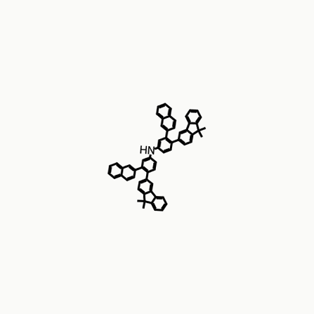 CC1(C)c2ccccc2-c2cc(-c3ccc(Nc4ccc(-c5ccc6c(c5)-c5ccccc5C6(C)C)c(-c5ccc6ccccc6c5)c4)cc3-c3ccc4ccccc4c3)ccc21